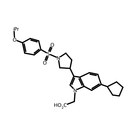 CC(C)Oc1ccc(S(=O)(=O)N2CCC(c3cn(CC(=O)O)c4cc(C5CCCC5)ccc34)C2)cc1